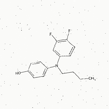 CCCCN(c1ccc(O)cc1)c1ccc(F)c(F)c1